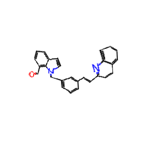 O=Cc1cccc2ccn(Cc3cccc(C=Cc4ccc5ccccc5n4)c3)c12